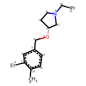 CCc1cc(CO[C@@H]2CCN(CC(C)C)C2)ccc1C